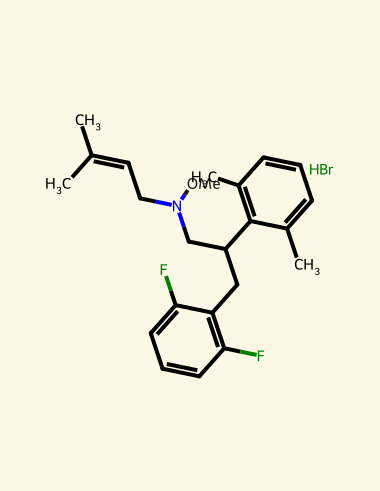 Br.CON(CC=C(C)C)CC(Cc1c(F)cccc1F)c1c(C)cccc1C